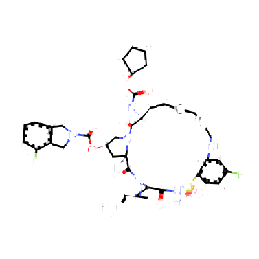 C=C[C@@H]1C[C@@]12NC(=O)[C@@H]1C[C@@H](OC(=O)N3Cc4cccc(F)c4C3)CN1C(=O)[C@@H](NC(=O)OC1CCCC1)CCCCCCNc1cc(F)ccc1S(=O)(=O)NC2=O